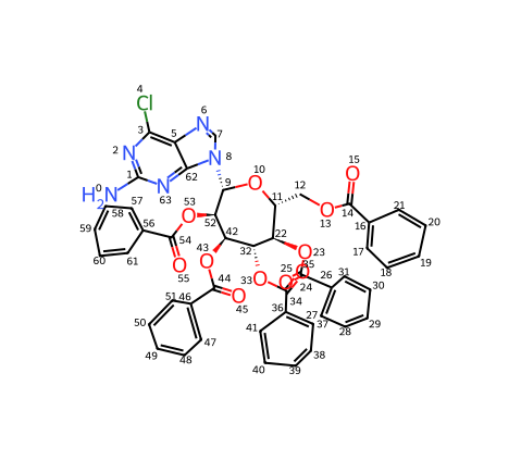 Nc1nc(Cl)c2ncn([C@@H]3O[C@H](COC(=O)c4ccccc4)[C@@H](OC(=O)c4ccccc4)[C@H](OC(=O)c4ccccc4)[C@@H](OC(=O)c4ccccc4)[C@H]3OC(=O)c3ccccc3)c2n1